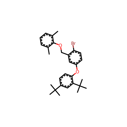 Cc1cccc(C)c1OCc1cc(Oc2ccc(C(C)(C)C)cc2C(C)(C)C)ccc1Br